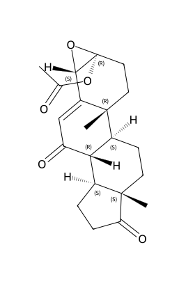 CC(=O)O[C@]12CC[C@@]3(C)C(=CC(=O)[C@@H]4[C@@H]3CC[C@]3(C)C(=O)CC[C@@H]43)[C@@H]1O2